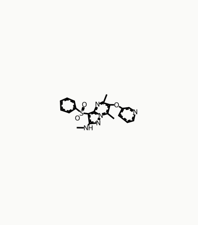 CNc1nn2c(C)c(Oc3cccnc3)c(C)nc2c1S(=O)(=O)c1ccccc1